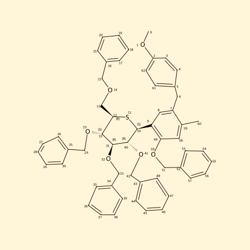 COc1ccc(Cc2cc([C@@H]3S[C@H](COCc4ccccc4)[C@@H](OCc4ccccc4)[C@H](OCc4ccccc4)[C@H]3OCc3ccccc3)c(OCc3ccccc3)cc2C)cc1